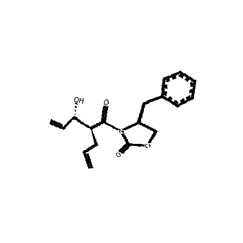 C=CC[C@H](C(=O)N1C(=O)OCC1Cc1ccccc1)[C@@H](O)C=C